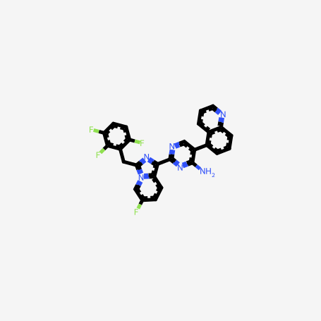 Nc1nc(-c2nc(Cc3c(F)ccc(F)c3F)n3cc(F)ccc23)ncc1-c1cccc2ncccc12